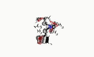 COC(=O)c1ccc(OC)c(N(CC=C(C)CCC=C(C)COC2CCCCO2)CC=C(C)CCC=C(C)COC2CCCCO2)c1